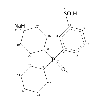 O=P(c1cccc(S(=O)(=O)O)c1)(C1CCCCC1)C1CCCCC1.[NaH]